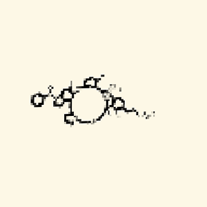 CCOC(=O)CCc1cccc(C2(C)CCSCCn3nccc3Cc3c(c(F)cc4c3ccn4[S+]([O-])c3ccccc3)Oc3ccc(F)c(c3)-c3nc2nn3C)c1